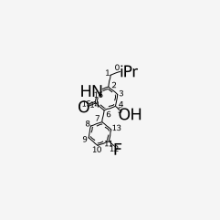 CC(C)Cc1cc(O)c(-c2cccc(F)c2)c(=O)[nH]1